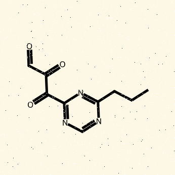 CCCc1ncnc(C(=O)C(=O)C=O)n1